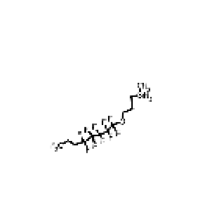 C[SiH2]CCCOC(F)(F)C(F)(F)C(F)(F)C(F)(F)C(F)(F)CCC(F)(F)F